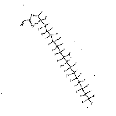 C=CC(=O)OC(C)C(F)(F)C(F)(F)C(F)(F)C(F)(F)C(F)(F)C(F)(F)C(F)(F)C(F)(F)C(F)(F)C(F)(F)C(F)(F)C(F)(F)C(F)(F)C(F)(F)C(F)(F)C(F)(F)F